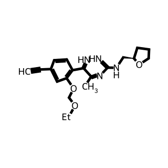 C#Cc1ccc(C(=N)/C(C)=N\C(=N)NC[C@H]2CCCO2)c(OCOCC)c1